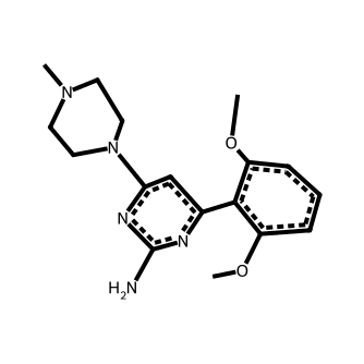 COc1cccc(OC)c1-c1cc(N2CCN(C)CC2)nc(N)n1